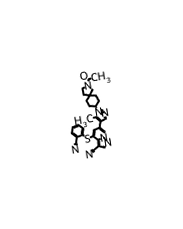 CC(=O)N1CCC2(CCC(n3ncc(-c4cc(Sc5ccccc5C#N)c5c(C#N)cnn5c4)c3C)CC2)C1